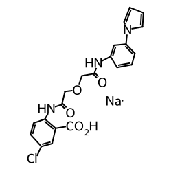 O=C(COCC(=O)Nc1ccc(Cl)cc1C(=O)O)Nc1cccc(-n2cccc2)c1.[Na]